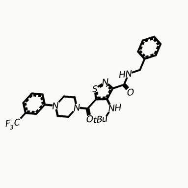 CC(C)(C)Nc1c(C(=O)NCc2ccccc2)nsc1C(=O)N1CCN(c2cccc(C(F)(F)F)c2)CC1